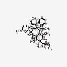 C=C(C)[C@@]1(O)[C@H](O)[C@@H]2[C@@H]3O[C@]3(COC(C)=O)[C@@H](O)[C@](O)(C(=O)/C(C)=C\C)C[C@@]2(OC(C)(C)c2ccccc2)[C@H](C)[C@H]1OC(C)=O